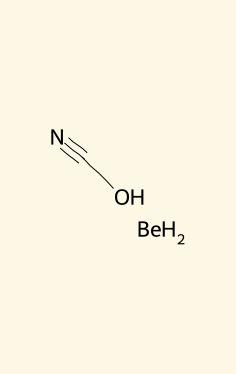 N#CO.[BeH2]